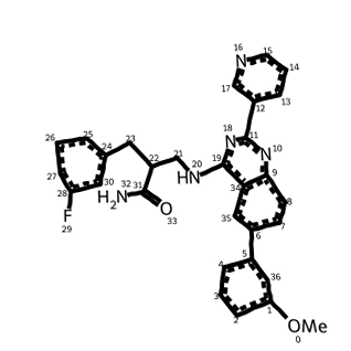 COc1cccc(-c2ccc3nc(-c4cccnc4)nc(NCC(Cc4cccc(F)c4)C(N)=O)c3c2)c1